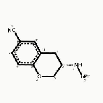 CCCN[C@@H]1COc2ccc(C#N)cc2C1